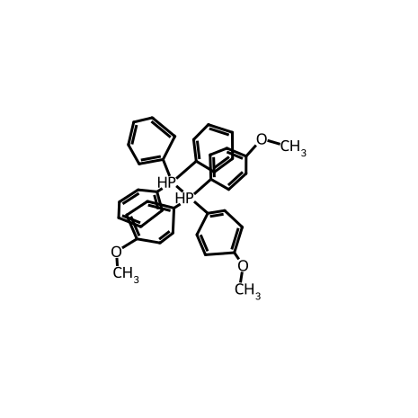 COc1ccc([PH](c2ccc(OC)cc2)(c2ccc(OC)cc2)[PH](c2ccccc2)(c2ccccc2)c2ccccc2)cc1